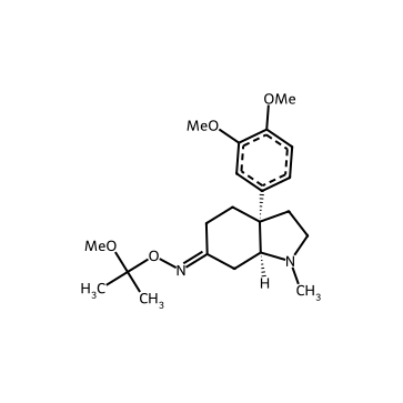 COc1ccc([C@@]23CCC(=NOC(C)(C)OC)C[C@@H]2N(C)CC3)cc1OC